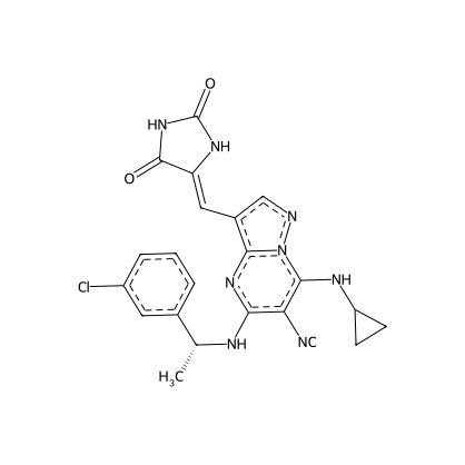 [C-]#[N+]c1c(N[C@H](C)c2cccc(Cl)c2)nc2c(/C=C3\NC(=O)NC3=O)cnn2c1NC1CC1